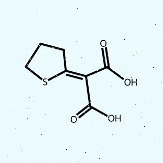 O=C(O)C(C(=O)O)=C1CCCS1